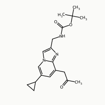 CC(=O)Cc1cc(C2CC2)cn2cc(CNC(=O)OC(C)(C)C)nc12